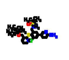 CC(C)(C)[S+]([O-])NCc1cc(-c2ccc(N)nc2)cc(Cl)c1Sc1ncccc1CO[Si](C)(C)C(C)(C)C